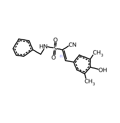 Cc1cc(/C=C(\C#N)S(=O)(=O)NCc2ccccc2)cc(C)c1O